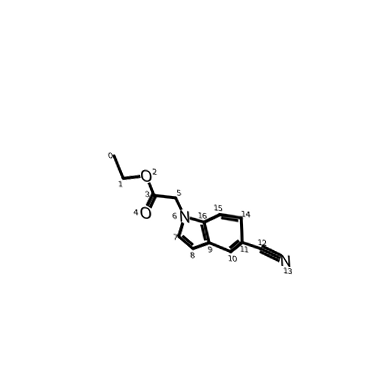 CCOC(=O)Cn1ccc2cc(C#N)ccc21